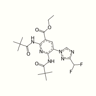 CCOC(=O)c1cc(-n2cnc(C(F)F)n2)c(NC(=O)C(C)(C)C)nc1NC(=O)C(C)(C)C